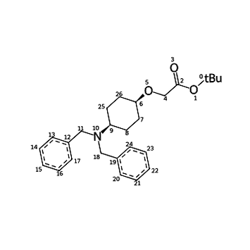 CC(C)(C)OC(=O)CO[C@H]1CC[C@@H](N(Cc2ccccc2)Cc2ccccc2)CC1